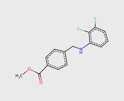 COC(=O)c1ccc(CNc2cccc(F)c2F)cc1